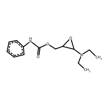 CCN(CC)C1OC1COC(=O)Nc1ccccc1